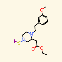 CCOC(=O)CC1CN(SI)CCN1CCc1cccc(OC)c1